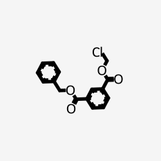 O=C(OCCl)c1cccc(C(=O)OCc2ccccc2)c1